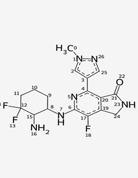 Cn1cc(-c2nc(NC3CCCC(F)(F)C3N)c(F)c3c2C(=O)NC3)cn1